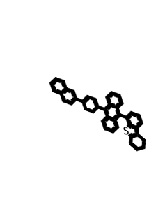 C1=Cc2sc3c(-c4c5ccccc5c(C5=CC=C(c6ccc7ccccc7c6)CC5)c5ccccc45)cccc3c2CC1